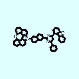 c1ccc(-c2cc(-c3cccc4oc5ccccc5c34)nc(-c3ccc4cc(-n5c6ccc7cccc8oc9cccc%10ccc5c(c%109)c6c78)ccc4c3)n2)cc1